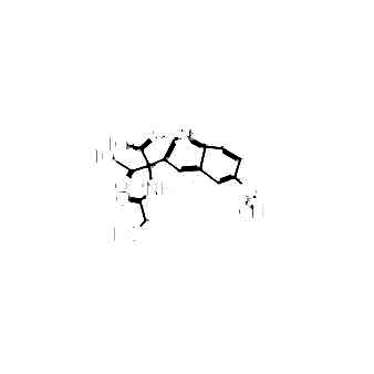 CCC(=O)NC(C(=O)O)(C(=O)O)c1cnc2ccc(OC)cc2c1